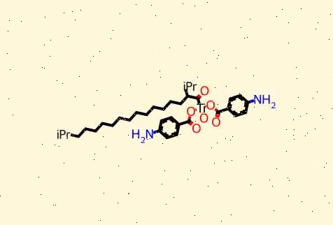 CC(C)CCCCCCCCCCCCCC([C](=O)[Ti](=[O])([O]C(=O)c1ccc(N)cc1)[O]C(=O)c1ccc(N)cc1)C(C)C